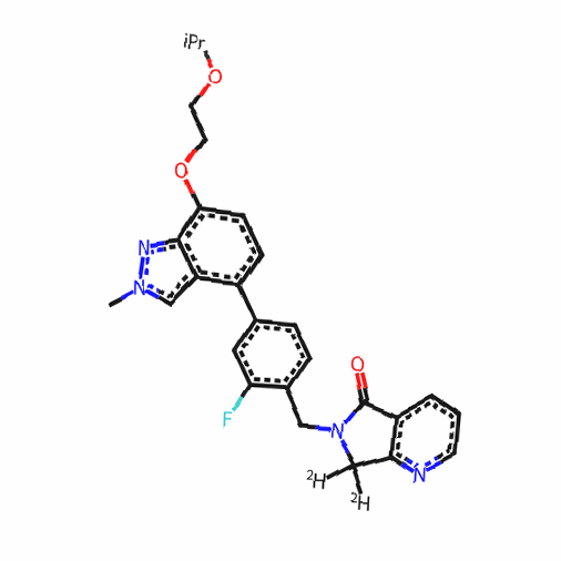 [2H]C1([2H])c2ncccc2C(=O)N1Cc1ccc(-c2ccc(OCCOC(C)C)c3nn(C)cc23)cc1F